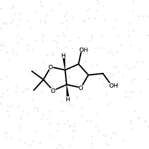 CC1(C)O[C@H]2OC(CO)C(O)[C@H]2O1